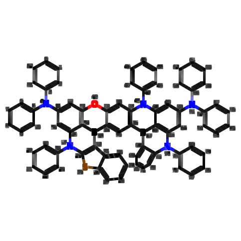 c1ccc(N(c2ccccc2)c2cc3c4c(c2)N(c2ccccc2)c2sc5ccccc5c2B4c2cc4c(cc2O3)N(c2ccccc2)c2cc(N(c3ccccc3)c3ccccc3)cc3c2B4c2ccccc2N3c2ccccc2)cc1